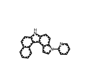 c1ccc(-n2ccc3c4c(ccc32)[nH]c2ccc3ccccc3c24)nc1